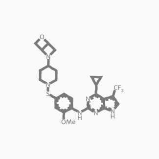 COc1cc(SN2CCC(N3CC4OCC43)CC2)ccc1Nc1nc(C2CC2)c2c(C(F)(F)F)c[nH]c2n1